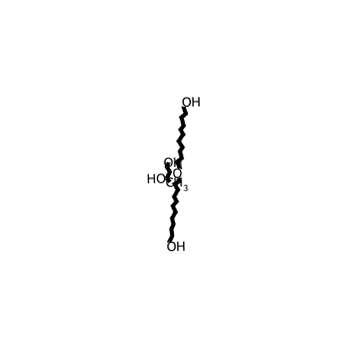 CC(O)CCO.OCCCCCCCCCCCCOCCCCCCCCCCCCO